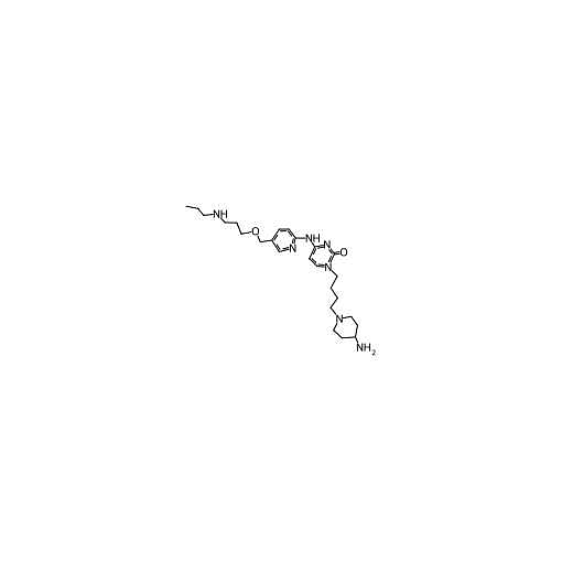 CCCNCCCOCc1ccc(Nc2ccn(CCCCN3CCC(N)CC3)c(=O)n2)nc1